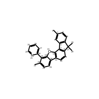 Cc1ccc2c(c1)-c1c(ccc3c1oc1c(-c4ccccn4)c(C)ccc13)C2(C)C